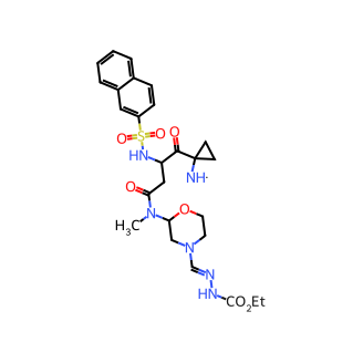 CCOC(=O)NN=CN1CCOC(N(C)C(=O)CC(NS(=O)(=O)c2ccc3ccccc3c2)C(=O)C2([NH])CC2)C1